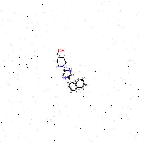 OCC1CCN(c2cnc(-c3cccc4ccccc34)cn2)CC1